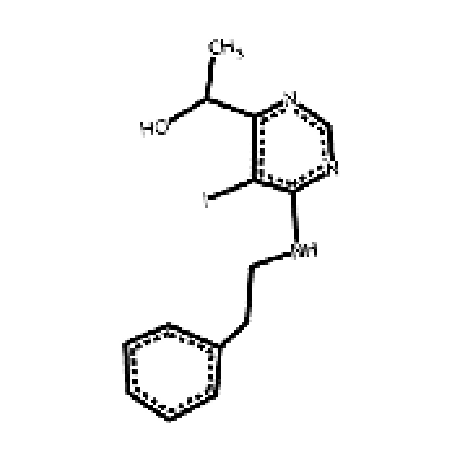 CC(O)c1ncnc(NCCc2ccccc2)c1I